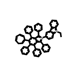 CCn1c2ccccc2c2cc(-n3c(-c4ccccc4)c4c(-c5ccccc5)c(C5=CCC=CC=C5)c(-c5ccccc5)c(-c5ccccc5)c4c3-c3ccccc3)ccc21